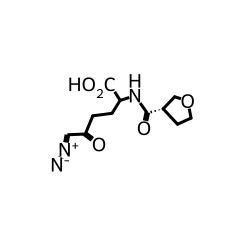 [N-]=[N+]=CC(=O)CCC(NC(=O)[C@H]1CCOC1)C(=O)O